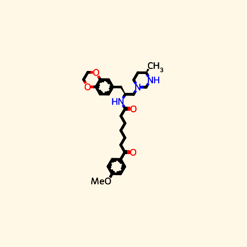 COc1ccc(C(=O)CCCCCC(=O)N[C@@H](Cc2ccc3c(c2)OCCO3)CN2CC[C@@H](C)NC2)cc1